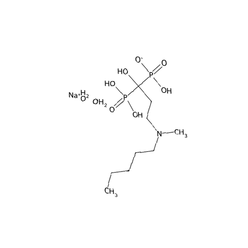 CCCCCN(C)CCC(O)(P(=O)([O-])O)P(=O)(O)O.O.O.[Na+]